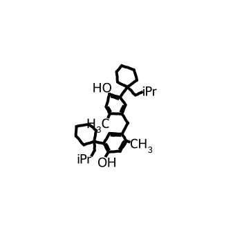 Cc1cc(O)c(C2(CC(C)C)CCCCC2)cc1Cc1cc(C2(CC(C)C)CCCCC2)c(O)cc1C